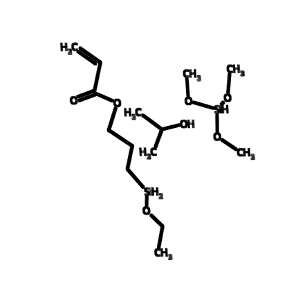 C=CC(=O)OCCC[SiH2]OCC.CC(C)O.CO[SiH](OC)OC